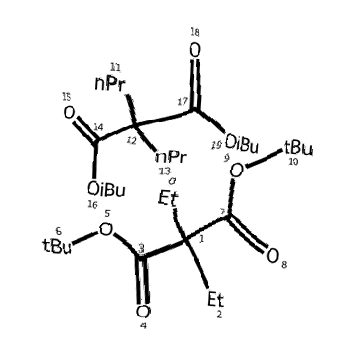 CCC(CC)(C(=O)OC(C)(C)C)C(=O)OC(C)(C)C.CCCC(CCC)(C(=O)OCC(C)C)C(=O)OCC(C)C